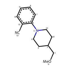 COCC1CCN(c2ccccc2C#N)CC1